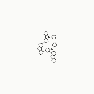 c1ccc(-n2c3ccccc3c3cc(-c4ccc5sc6cccc(-c7ccc8c(c7)c7c9sc%10ccccc%10c9ccc7n8-c7ccccc7)c6c5c4)ccc32)cc1